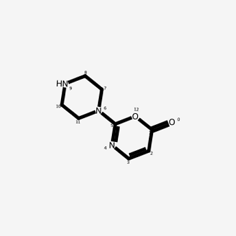 O=c1ccnc(N2CCNCC2)o1